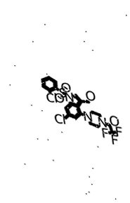 O=Cc1cn(S(=O)(=O)c2ccccc2Cl)c2cc(Cl)cc(N3CCN(C(=O)C(F)(F)F)CC3)c12